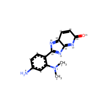 CN(C)c1cc(N)ccc1C1=NC2=NC(=O)C=CC2=N1